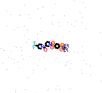 CCN(CC)S(=O)(=O)c1ccc(S(=O)(=O)N2CCC[C@@H](C(=O)N3CCC(C(F)F)CC3)C2)cc1